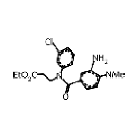 CCOC(=O)CCN(C(=O)c1ccc(NC)c(N)c1)c1cccc(Cl)c1